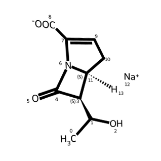 CC(O)[C@H]1C(=O)N2C(C(=O)[O-])=CC[C@@H]12.[Na+]